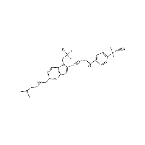 CN(C)CCNCc1ccc2c(c1)cc(C#CCNc1ccc(C(C)(C)C#N)nc1)n2CC(F)(F)F